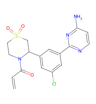 C=CC(=O)N1CCS(=O)(=O)CC1c1cc(Cl)cc(-c2nccc(N)n2)c1